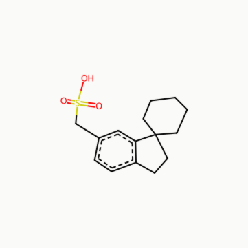 O=S(=O)(O)Cc1ccc2c(c1)C1(CCCCC1)CC2